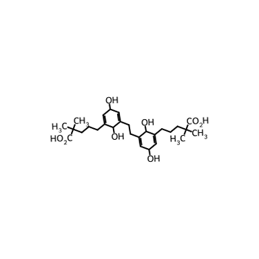 CC(C)(CCCC1=CC(O)C=C(CCC2=CC(O)C=C(CCCC(C)(C)C(=O)O)C2O)C1O)C(=O)O